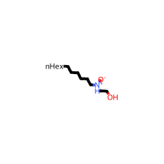 CCCCCCCCCCCC[NH+]([O-])CCO